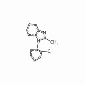 Cc1nc2ccccc2n1-c1ccccc1Cl